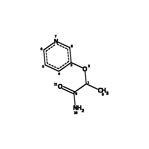 CC(Oc1cccnc1)C(N)=O